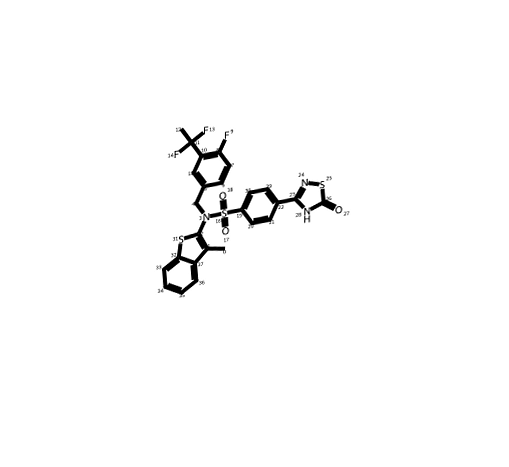 Cc1c(N(Cc2ccc(F)c(C(C)(F)F)c2)S(=O)(=O)c2ccc(-c3nsc(=O)[nH]3)cc2)sc2ccccc12